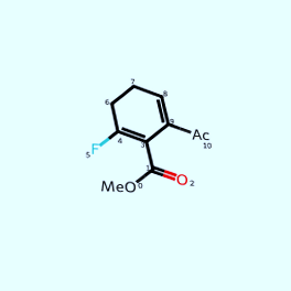 COC(=O)C1=C(F)CCC=C1C(C)=O